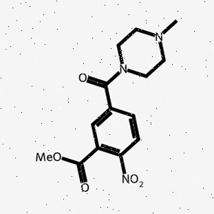 COC(=O)c1cc(C(=O)N2CCN(C)CC2)ccc1[N+](=O)[O-]